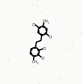 Cc1cc(Cl)c(CCc2ccc(C)c(Cl)c2Cl)cc1Cl